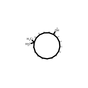 CC1(C)CCCCCCCCCCCC(O)CCCC1